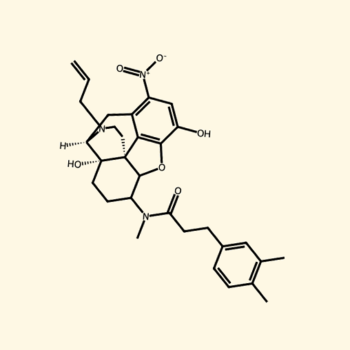 C=CCN1CC[C@]23c4c5c([N+](=O)[O-])cc(O)c4OC2C(N(C)C(=O)CCc2ccc(C)c(C)c2)CC[C@@]3(O)[C@H]1C5